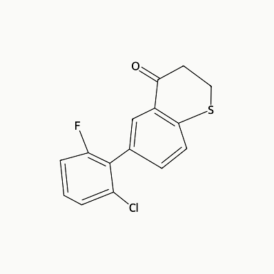 O=C1CCSc2ccc(-c3c(F)cccc3Cl)cc21